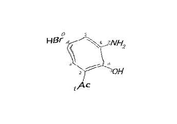 Br.CC(=O)c1cccc(N)c1O